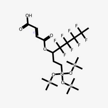 CC(F)(F)C(F)(F)C(F)(F)C(F)(F)C(CC[Si](O[Si](C)(C)C)(O[Si](C)(C)C)O[Si](C)(C)C)OC(=O)/C=C/C(=O)O